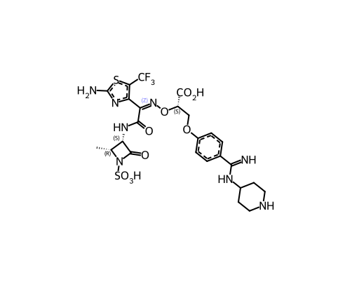 C[C@@H]1[C@H](NC(=O)/C(=N\O[C@@H](COc2ccc(C(=N)NC3CCNCC3)cc2)C(=O)O)c2nc(N)sc2C(F)(F)F)C(=O)N1S(=O)(=O)O